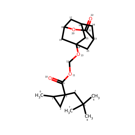 CC1CC1(CC(C)(C)C)C(=O)OCOC12CC3CC(C1)OC(=O)C(C3)C2